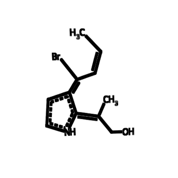 C\C=C/C(Br)=c1/cc[nH]/c1=C(/C)CO